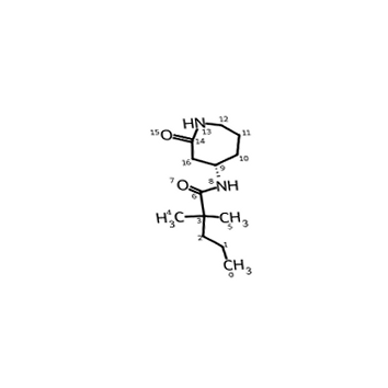 CCCC(C)(C)C(=O)N[C@H]1CCCNC(=O)C1